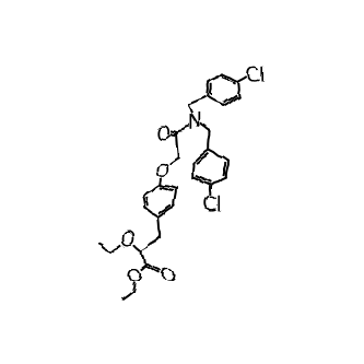 CCOC(=O)[C@H](Cc1ccc(OCC(=O)N(Cc2ccc(Cl)cc2)Cc2ccc(Cl)cc2)cc1)OCC